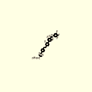 CCCCCc1cnc(-c2ccc(/C=C/c3ccc(-c4cc(F)c(C(F)(F)Oc5cc(F)c(F)c(F)c5)c(F)c4)c(F)c3)cc2)nc1